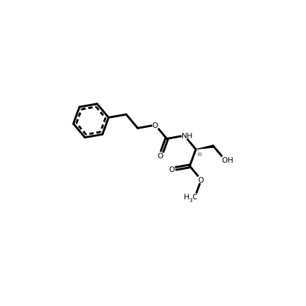 COC(=O)[C@H](CO)NC(=O)OCCc1ccccc1